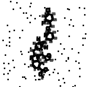 COC(=O)c1ccc2nc(CN3C[C@@H]4[C@H](C3)[C@H]4c3cccc(OCc4ccc(Cl)cc4F)n3)n(C[C@@H]3CCO3)c2c1